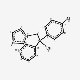 OC(Cn1ccnc1)(c1ccc(Cl)cc1)c1cccnc1